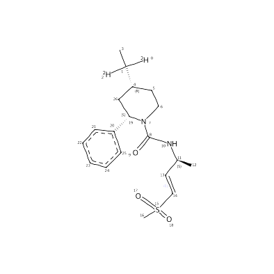 [2H]C([2H])(C)[C@@H]1CCN(C(=O)N[C@@H](C)/C=C/S(C)(=O)=O)[C@H](c2ccccc2)C1